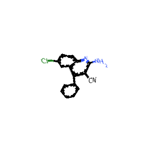 N#Cc1c(N)nc2ccc(Cl)cc2c1-c1ccccc1